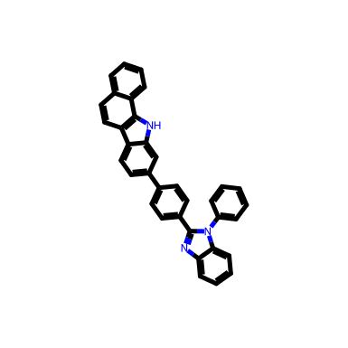 c1ccc(-n2c(-c3ccc(-c4ccc5c(c4)[nH]c4c6ccccc6ccc54)cc3)nc3ccccc32)cc1